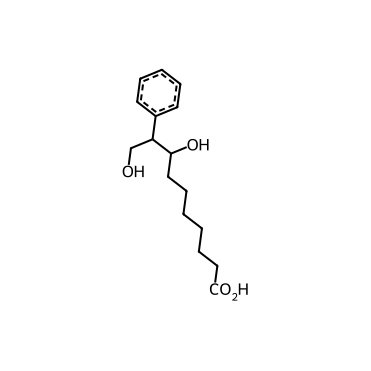 O=C(O)CCCCCCC(O)C(CO)c1ccccc1